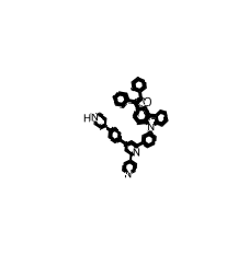 C1=CC(c2ccc(-c3cc(-c4ccncc4)nc(-c4cccc(-n5c6ccccc6c6c7oc(-c8ccccc8)c(-c8ccccc8)c7ccc65)c4)c3)cc2)=CCN1